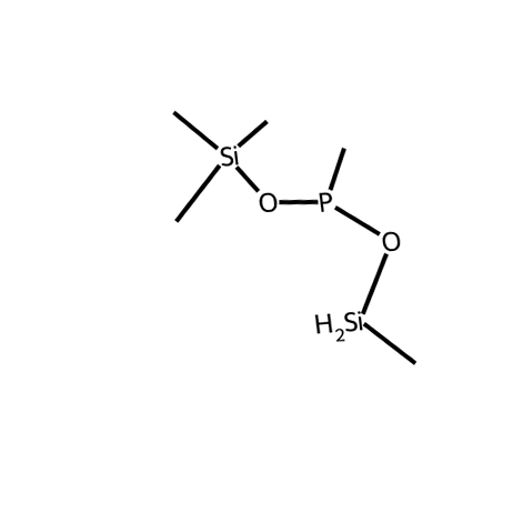 C[SiH2]OP(C)O[Si](C)(C)C